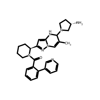 CC1=Cn2nc([C@@H]3CCCCN3C(=O)c3ccccc3-c3cccnc3)cc2NC1N1CC[C@H](N)C1